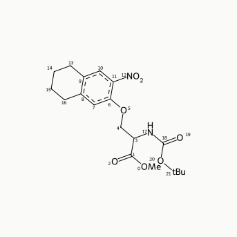 COC(=O)C(COc1cc2c(cc1[N+](=O)[O-])CCCC2)NC(=O)OC(C)(C)C